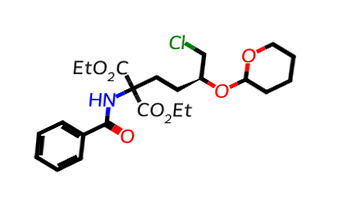 CCOC(=O)C(CC[C@@H](CCl)OC1CCCCO1)(NC(=O)c1ccccc1)C(=O)OCC